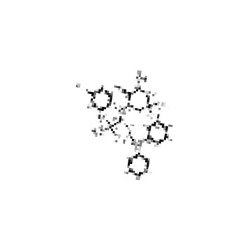 CC1(C)CN([C@@H](c2ccc(F)cc2)[C@H](CO[SiH](c2ccccc2)c2ccccc2)C(C)(C)C)C(=O)C(O)O1